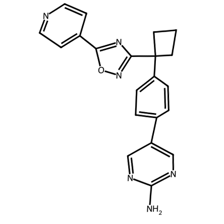 Nc1ncc(-c2ccc(C3(c4noc(-c5ccncc5)n4)CCC3)cc2)cn1